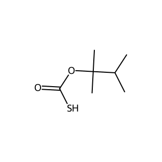 CC(C)C(C)(C)OC(=O)S